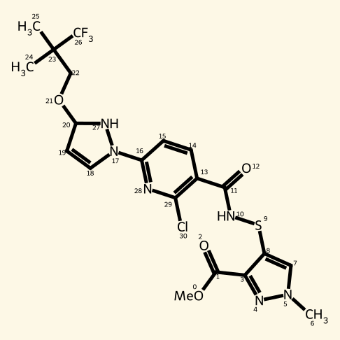 COC(=O)c1nn(C)cc1SNC(=O)c1ccc(N2C=CC(OCC(C)(C)C(F)(F)F)N2)nc1Cl